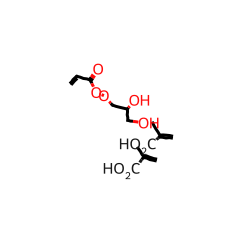 C=C(C)C(=O)O.C=C(C)C(=O)O.C=CC(=O)OOCC(O)CO